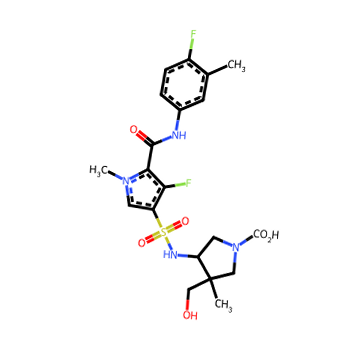 Cc1cc(NC(=O)c2c(F)c(S(=O)(=O)NC3CN(C(=O)O)CC3(C)CO)cn2C)ccc1F